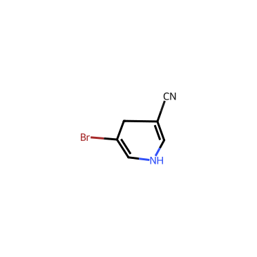 N#CC1=CNC=C(Br)C1